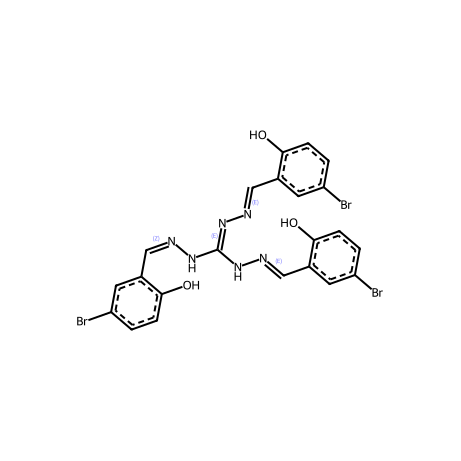 Oc1ccc(Br)cc1/C=N\N/C(=N/N=C/c1cc(Br)ccc1O)N/N=C/c1cc(Br)ccc1O